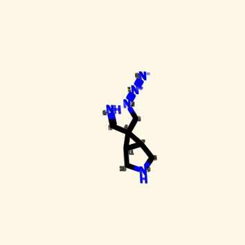 [N-]=[N+]=NCC1(C=N)C2CNCC21